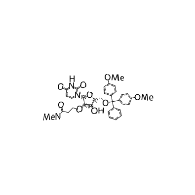 CNC(=O)CCO[C@@H]1[C@H](O)[C@@H](COC(c2ccccc2)(c2ccc(OC)cc2)c2ccc(OC)cc2)O[C@H]1n1ccc(=O)[nH]c1=O